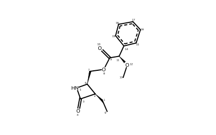 CC[C@H]1C(=O)N[C@H]1COC(=O)[C@H](OC)c1ccccc1